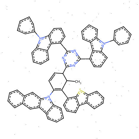 CC1C(c2cccc3c2sc2ccccc23)=C(n2c3ccccc3c3cc4ccccc4cc32)C=CC1c1nc(-c2cccc3c2c2ccccc2n3-c2ccccc2)nc(-c2cccc3c2c2ccccc2n3-c2ccccc2)n1